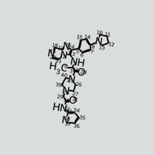 CC(Nc1c(-c2ccc(N3CCCC3)cc2)nc2cnccn12)C(=O)N1CCN(CC(=O)Nc2ccccn2)CC1